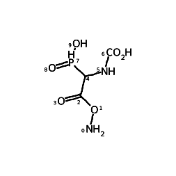 NOC(=O)C(NC(=O)O)[PH](=O)O